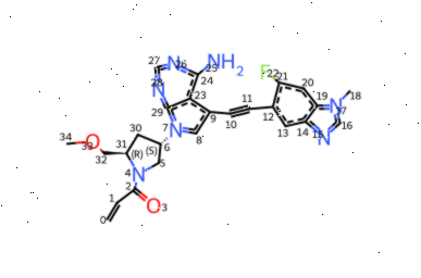 C=CC(=O)N1C[C@@H](n2cc(C#Cc3cc4ncn(C)c4cc3F)c3c(N)ncnc32)C[C@@H]1COC